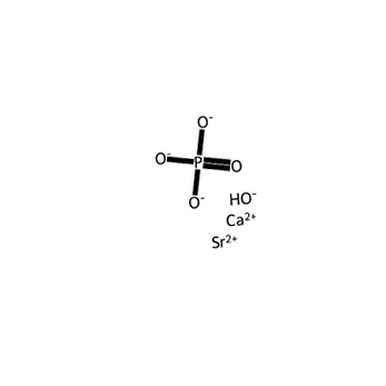 O=P([O-])([O-])[O-].[Ca+2].[OH-].[Sr+2]